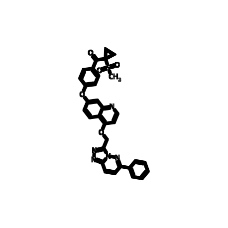 CS(=O)(=O)C1(C(=O)c2ccc(Oc3ccc4c(OCc5nnc6ccc(-c7ccccc7)nn56)ccnc4c3)cc2)CC1